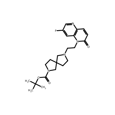 CC(C)(C)OC(=O)N1CCC2(CCN(CCn3c(=O)ccc4ncc(F)cc43)C2)C1